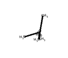 CCCCCCCCC=CCCCCCCCCOCC(CNC(=O)OCCN(C)C)OCCCCCCCCC=CCCCCCCCC